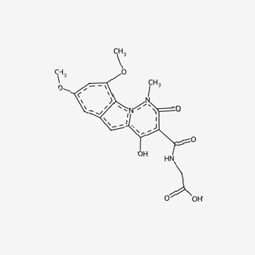 COc1cc(OC)c2c(c1)cc1c(O)c(C(=O)NCC(=O)O)c(=O)n(C)n12